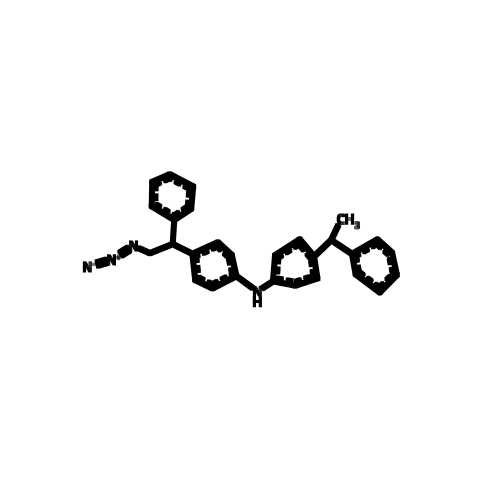 CC(c1ccccc1)c1ccc(Nc2ccc(C(CN=[N+]=[N-])c3ccccc3)cc2)cc1